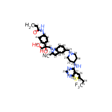 C=CC(=O)Nc1ccc(C(O)(CO)Cn2c(C#N)cc3cc(CN4CCC(Nc5ncnc6sc(CC(F)(F)F)cc56)CC4)ccc32)cc1